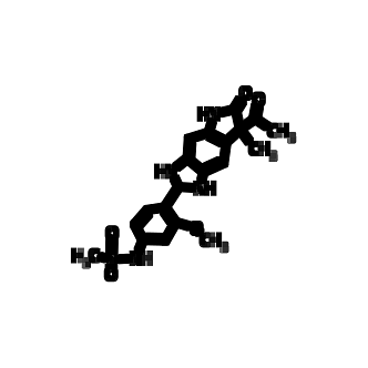 COc1cc(NS(C)(=O)=O)ccc1C1Nc2cc3c(cc2N1)C(C)(C(C)=O)C(=O)N3